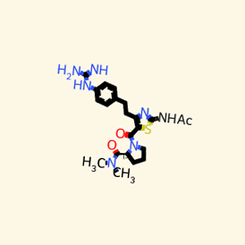 CC(=O)Nc1nc(CCc2ccc(NC(=N)N)cc2)c(C(=O)N2CCC[C@H]2C(=O)N(C)C)s1